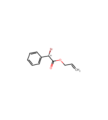 C=CCOC(=O)[C@H](Br)c1ccccc1